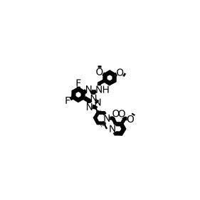 COC(=O)c1cccnc1C(=O)N1C[C@H](c2nc3c4cc(F)cc(F)c4nc(NCc4ccc(OC)cc4OC)n3n2)CC[C@@H]1C